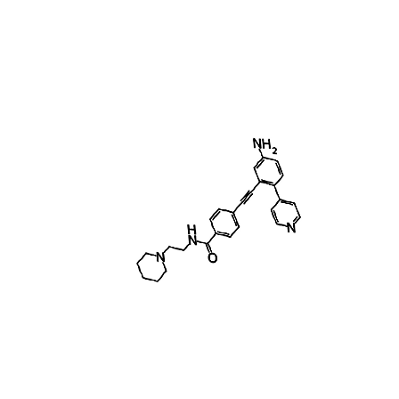 Nc1ccc(-c2ccncc2)c(C#Cc2ccc(C(=O)NCCN3CCCCC3)cc2)c1